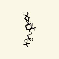 CC(C)(C)OC(=O)COc1ccc(N2CC(F)(F)C2)nc1F